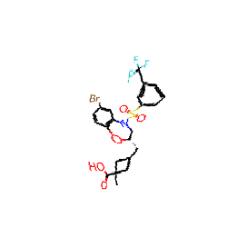 CC1(C(=O)O)CC(C[C@H]2CN(S(=O)(=O)c3cccc(C(F)(F)F)c3)c3cc(Br)ccc3O2)C1